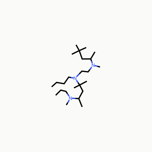 CCCCN(CCN(C)C(C)CC(C)(C)C)C(C)(C)CC(C)N(C)CCC